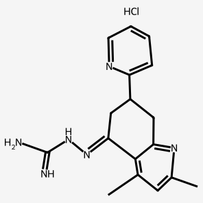 Cc1cc(C)c2c(n1)CC(c1ccccn1)CC2=NNC(=N)N.Cl